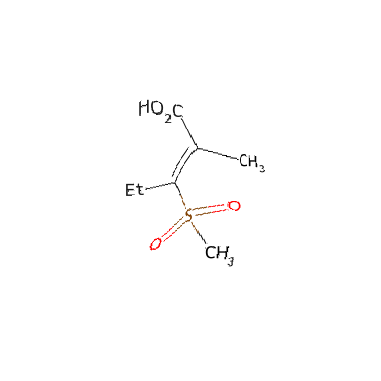 CC/C(=C(/C)C(=O)O)S(C)(=O)=O